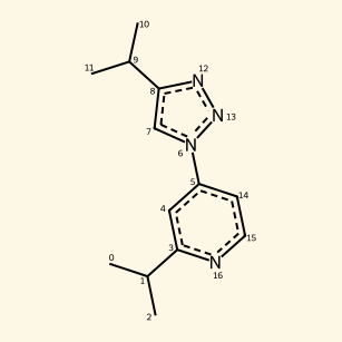 CC(C)c1cc(-n2cc(C(C)C)nn2)ccn1